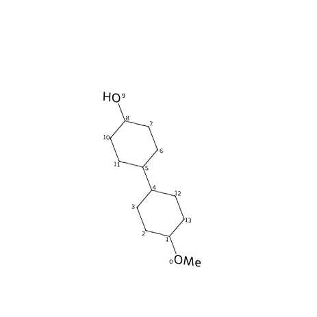 COC1CCC(C2CCC(O)CC2)CC1